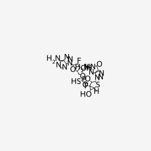 Nc1nc2c(nnn2[C@@H]2S[C@@H]3C(O)[C@]3(F)[C@H]2OP(=O)(S)OC[C@H]2O[C@@H](n3nnc4c(N)ncnc43)[C@@H](F)[C@@H]2O)c(=O)[nH]1